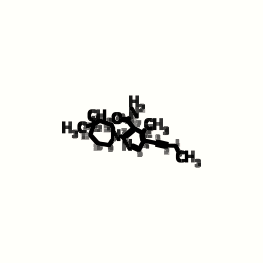 CCC#Cc1cnc(N2CCCC(C)(C)CC2)c(C(N)=O)c1C